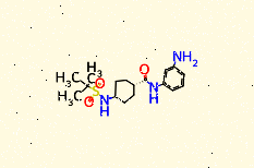 CC(C)(C)S(=O)(=O)N[C@H]1CC[C@H](C(=O)Nc2cccc(N)c2)CC1